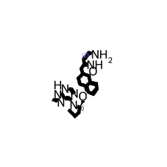 N=C(/C=C\N)CC1CCc2c(OC[C@H]3CCCN3c3ncnc4[nH]cnc34)cccc2C1=O